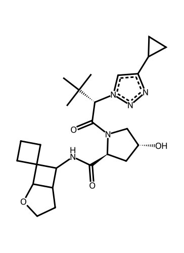 CC(C)(C)[C@@H](C(=O)N1C[C@H](O)C[C@H]1C(=O)NC1C2CCOC2C12CCC2)n1cc(C2CC2)nn1